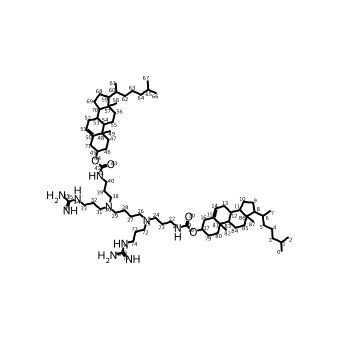 CC(C)CCCC(C)C1CCC2C3CC=C4CC(OC(=O)NCCCN(CCCCN(CCCNC(=N)N)CCCNC(=O)OC5CCC6(C)C(=CCC7C6CCC6(C)C(C(C)CCCC(C)C)CCC76)C5)CCCNC(=N)N)CCC4(C)C3CCC12C